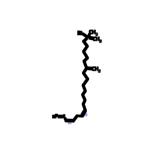 C=C(CCCCCCC/C=C\C/C=C\CCCCC)CCCCCP(=C)(C)CC